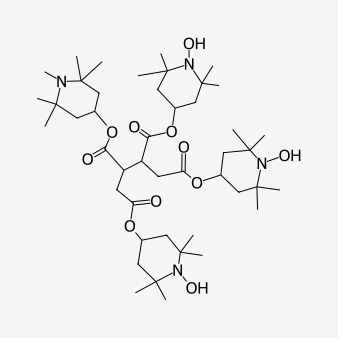 CN1C(C)(C)CC(OC(=O)C(CC(=O)OC2CC(C)(C)N(O)C(C)(C)C2)C(CC(=O)OC2CC(C)(C)N(O)C(C)(C)C2)C(=O)OC2CC(C)(C)N(O)C(C)(C)C2)CC1(C)C